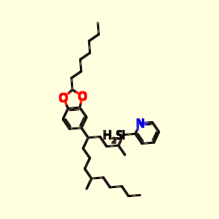 CCCCCCCC1Oc2ccc(C(CCCC(C)CCCCC)CCC(C)[SiH2]c3ccccn3)cc2O1